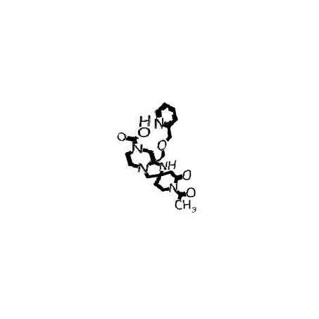 CC(=O)N1CCC2(CC1=O)CN1CCN(C(=O)O)C[C@]1(COCc1ccccn1)N2